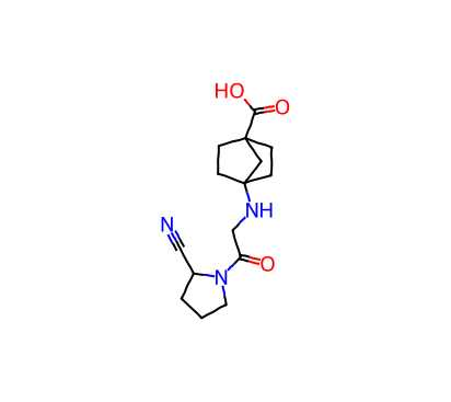 N#CC1CCCN1C(=O)CNC12CCC(C(=O)O)(CC1)C2